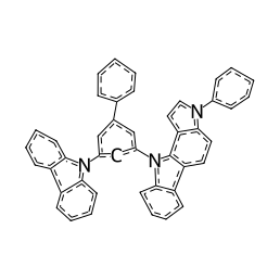 c1ccc(-c2cc(-n3c4ccccc4c4ccccc43)cc(-n3c4ccccc4c4ccc5c(ccn5-c5ccccc5)c43)c2)cc1